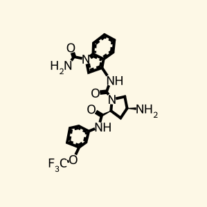 NC(=O)n1cc(NC(=O)N2C[C@@H](N)C[C@H]2C(=O)Nc2cccc(OC(F)(F)F)c2)c2ccccc21